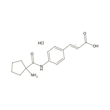 Cl.NC1(C(=O)Nc2ccc(/C=C/C(=O)O)cc2)CCCC1